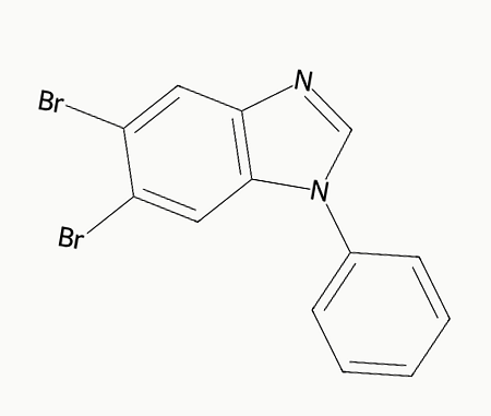 Brc1cc2ncn(-c3ccccc3)c2cc1Br